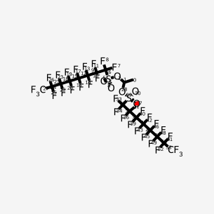 CC(OS(=O)(=O)C(F)(F)C(F)(F)C(F)(F)C(F)(F)C(F)(F)C(F)(F)C(F)(F)C(F)(F)F)OS(=O)(=O)C(F)(F)C(F)(F)C(F)(F)C(F)(F)C(F)(F)C(F)(F)C(F)(F)C(F)(F)F